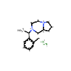 Cc1ccccc1C(C(=O)O)N1CCN2CCCC2C1.Cl.Cl